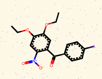 CCOc1cc(C(=O)c2ccc(I)cc2)c([N+](=O)[O-])cc1OCC